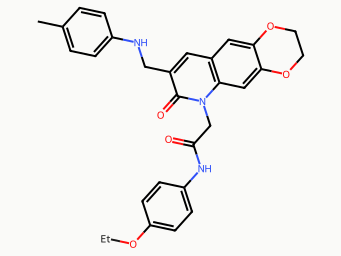 CCOc1ccc(NC(=O)Cn2c(=O)c(CNc3ccc(C)cc3)cc3cc4c(cc32)OCCO4)cc1